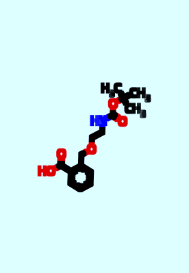 CC(C)(C)OC(=O)NCCOCc1ccccc1C(=O)O